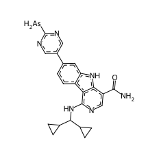 NC(=O)c1cnc(NC(C2CC2)C2CC2)c2c1[nH]c1cc(-c3cnc([AsH2])nc3)ccc12